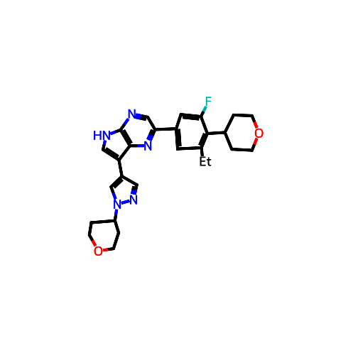 CCc1cc(-c2cnc3[nH]cc(-c4cnn(C5CCOCC5)c4)c3n2)cc(F)c1C1CCOCC1